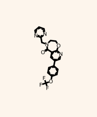 O=C1c2cc(-c3ccc(OC(F)(F)F)cc3)cnc2OCCN1Cc1ncccn1